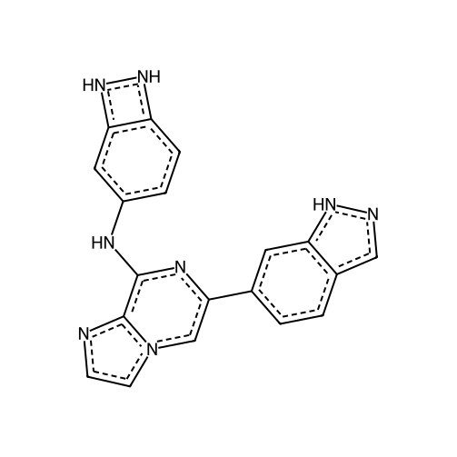 c1cn2cc(-c3ccc4cn[nH]c4c3)nc(Nc3ccc4[nH][nH]c4c3)c2n1